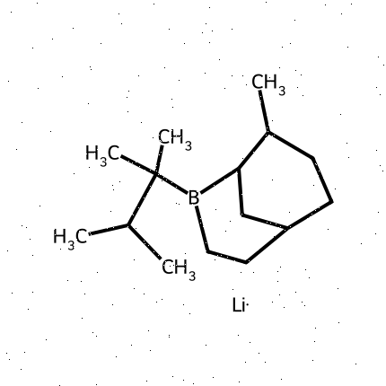 CC1CCC2CCB(C(C)(C)C(C)C)C1C2.[Li]